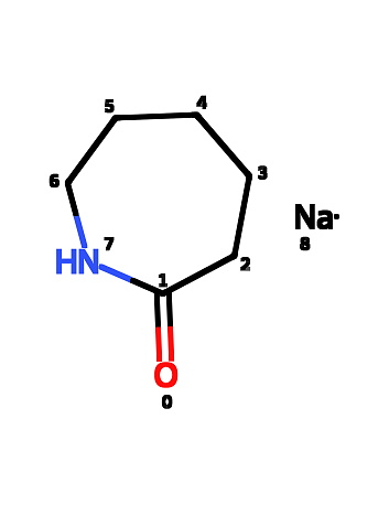 O=C1CCCCCN1.[Na]